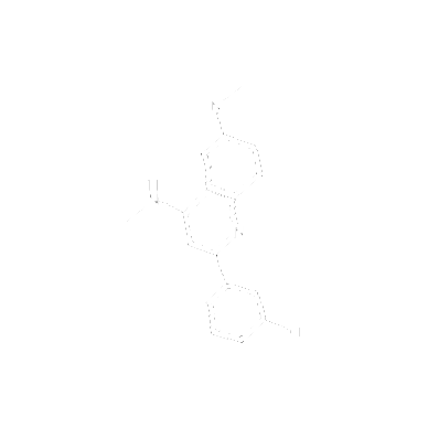 CNc1ccc2nc(-c3cccc(Cl)c3)cc(NC)c2c1